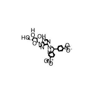 O=[N+]([O-])c1ccc(C(CNc2ncnc3c2ncn3[C@@H]2O[C@H](CO)[C@@H](O)[C@H]2O)c2ccc([N+](=O)[O-])cc2)cc1